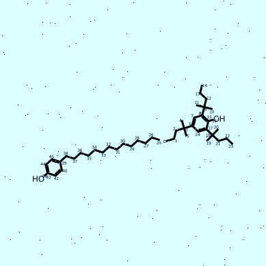 CCCC(C)(C)c1cc(C(C)(C)CCC)c(O)c(C(C)(C)CCC)c1.CCCCCCCCCCCCCCc1ccc(O)cc1